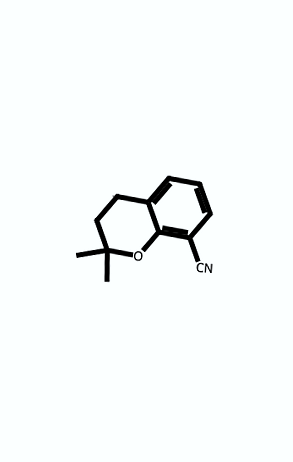 CC1(C)C[CH]c2cccc(C#N)c2O1